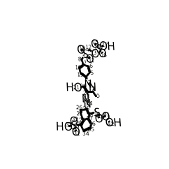 Cc1nn(-c2ccc(CS(=O)(=O)COS(=O)(=O)O)cc2)c(O)c1/N=N/c1ccc2c(S(=O)(=O)O)cccc2c1SOOO